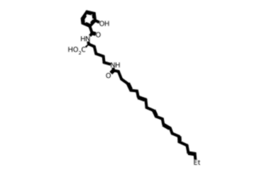 CCC=CCC=CCC=CCC=CCC=CCC=CCCC(=O)NCCCC[C@H](NC(=O)c1ccccc1O)C(=O)O